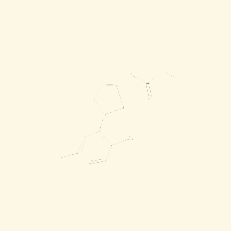 CC(C)(C)OC(=O)N[C@H]1CCN(c2cc(C(=O)O)ccc2N)C1